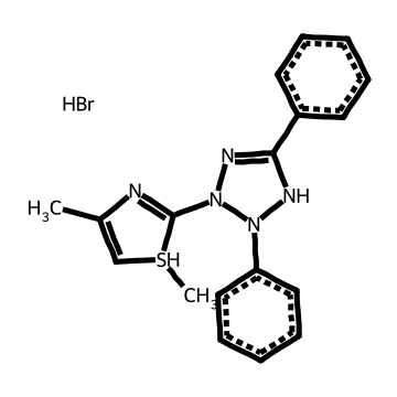 Br.CC1=C[SH](C)C(N2N=C(c3ccccc3)NN2c2ccccc2)=N1